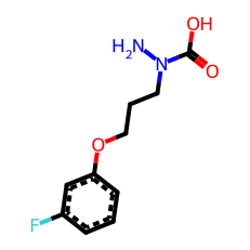 NN(CCCOc1cccc(F)c1)C(=O)O